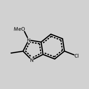 COn1c(C)nc2cc(Cl)ccc21